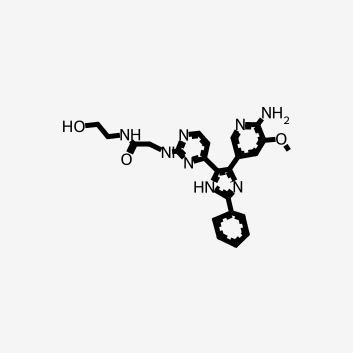 COc1cc(-c2nc(-c3ccccc3)[nH]c2-c2ccnc(NCC(=O)NCCO)n2)cnc1N